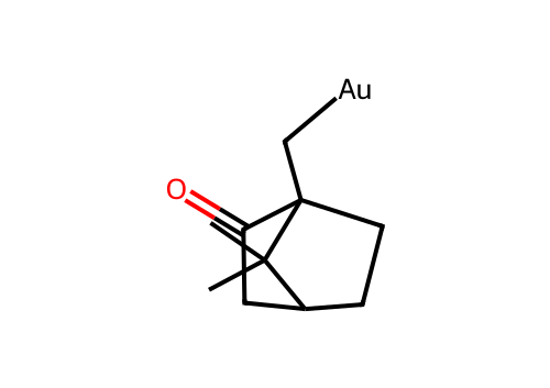 CC1(C)C2CCC1([CH2][Au])C(=O)C2